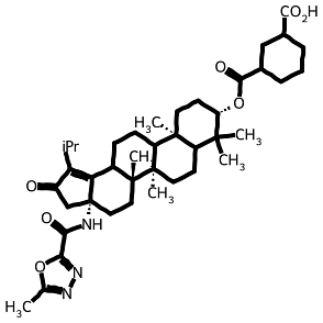 Cc1nnc(C(=O)N[C@@]23CC[C@]4(C)C(CCC5[C@@]6(C)CC[C@H](OC(=O)C7CCCC(C(=O)O)C7)C(C)(C)C6CC[C@]54C)C2=C(C(C)C)C(=O)C3)o1